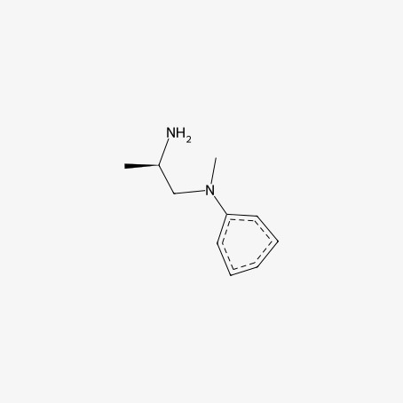 C[C@@H](N)CN(C)c1ccccc1